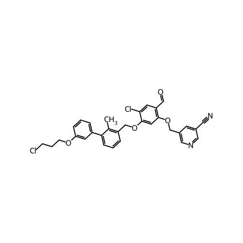 Cc1c(COc2cc(OCc3cncc(C#N)c3)c(C=O)cc2Cl)cccc1-c1cccc(OCCCCl)c1